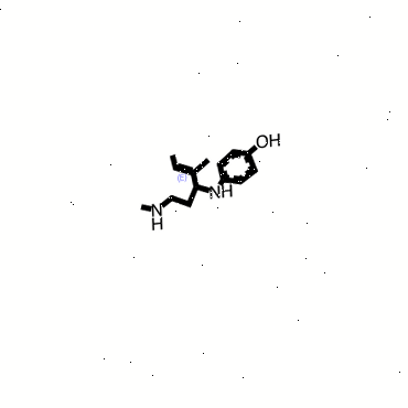 C/C=C(\C)C(CCNC)Nc1ccc(O)cc1